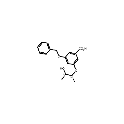 C[C@@H](O)[C@@H](C)Oc1cc(OCc2ccccc2)cc(C(=O)O)c1